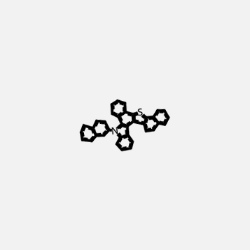 c1ccc2cc(-n3c4ccccc4c4c5c6ccc7ccccc7c6sc5c5ccccc5c43)ccc2c1